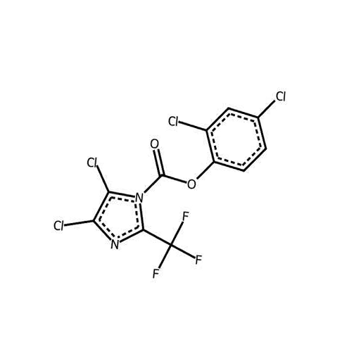 O=C(Oc1ccc(Cl)cc1Cl)n1c(C(F)(F)F)nc(Cl)c1Cl